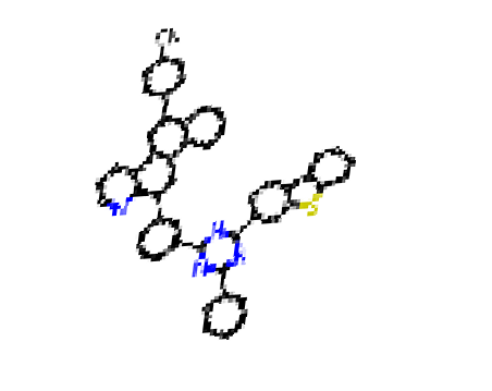 N#Cc1ccc(-c2cc3c4cccnc4c(-c4cccc(-c5nc(-c6ccccc6)nc(-c6ccc7c(c6)sc6ccccc67)n5)c4)cc3c3ccccc23)cc1